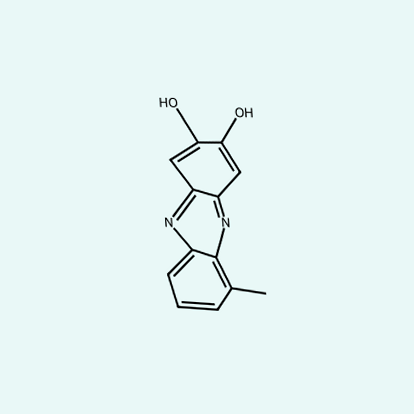 Cc1cccc2nc3cc(O)c(O)cc3nc12